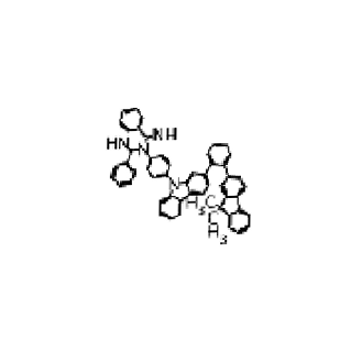 CC1(C)c2ccccc2-c2ccc(-c3ccccc3-c3ccc4c5ccccc5n(-c5ccc(N(C(=N)c6ccccc6)C(=N)c6ccccc6)cc5)c4c3)cc21